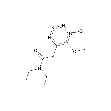 CCN(CC)C(=O)Cc1nnn[n+]([O-])c1OC